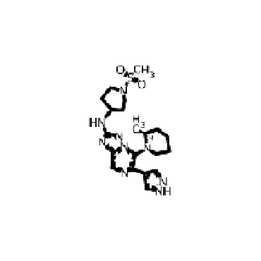 C[C@H]1CCCCN1c1c(-c2cn[nH]c2)ncc2nc(NC3CCN(S(C)(=O)=O)CC3)nn12